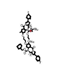 C=CCOC(=O)N1c2cc(OCCCOc3cc4c(cc3OC)C(=O)N3C=C(c5ccc(F)cc5)C[C@H]3[C@H](C)N4C(=O)OCc3ccccc3)c(C)cc2C(=O)N2C=C(c3ccc(F)cc3)C[C@H]2[C@@H]1O[Si](C)(C)C(C)(C)C